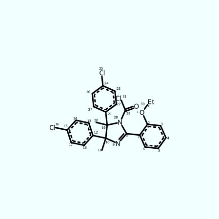 CCOc1ccccc1C1=NC(C)(c2ccc(Cl)cc2)C(C)(c2ccc(Cl)cc2)N1C(=O)Cl